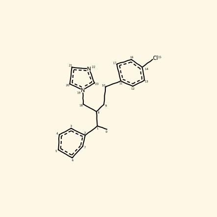 CC(c1ccccc1)C(CCc1ccc(Cl)cc1)Cn1ccnc1